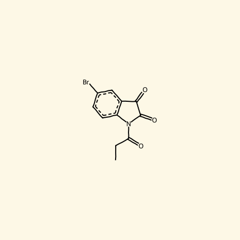 CCC(=O)N1C(=O)C(=O)c2cc(Br)ccc21